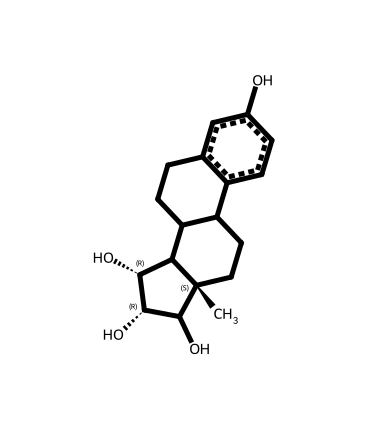 C[C@]12CCC3c4ccc(O)cc4CCC3C1[C@@H](O)[C@@H](O)C2O